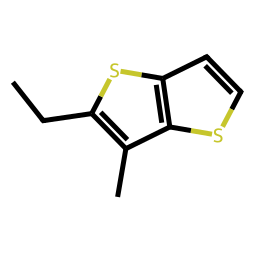 CCc1sc2ccsc2c1C